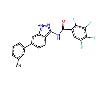 N#Cc1cccc(-c2ccc3c(NC(=O)c4cc(F)c(F)c(F)c4F)n[nH]c3c2)c1